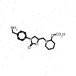 NCc1ccc(N2CC(CN3CCCCC3OC(=O)O)OC2=O)cc1